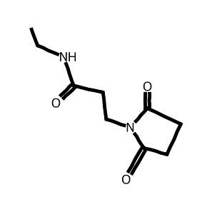 CCNC(=O)CCN1C(=O)CCC1=O